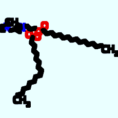 CCCCCCCC/C=C\CCCCCCCC(=O)OC(COC(=O)CCCCCCCCCCCCCCC)CN1CC(CN(C)C)C1